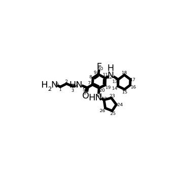 NCCCNC(=O)c1cc(F)c(NC2CCCCC2)cc1NC1CCCC1